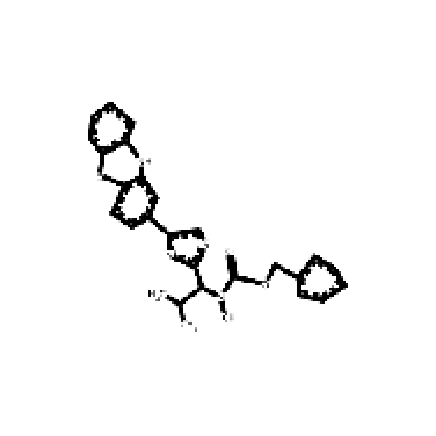 CC(C)C(c1nc(-c2ccc3c(c2)Nc2ccccc2S3)cs1)N(C)C(=O)OCc1ccccc1